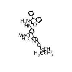 COc1cc(NC(=O)C(N)C(c2ccccc2)c2ccccc2)ccc1-c1cn(COCC[Si](C)(C)C)nc1C